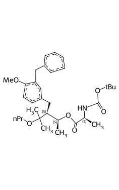 CCCOC(C)(C)[C@@H](Cc1ccc(OC)c(Cc2ccccc2)c1)[C@H](C)OC(=O)[C@H](C)NC(=O)OC(C)(C)C